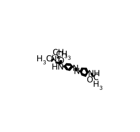 CC[N+](CC)(CC)CC(=O)Nc1ccc(/N=N/c2ccc(NC(C)=O)cc2)cc1